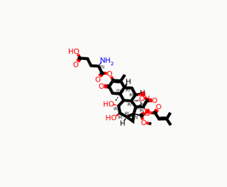 COC(=O)[C@@]12C[C@H]1[C@@H](O)[C@H](O)C1[C@@]3(CO)[C@@H](C[C@H]4C(C)=C(OC(=O)[C@@H](N)CCC(=O)O)C(=O)C[C@]14C)OC(=O)[C@H](OC(=O)C=C(C)C)[C@@H]23